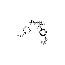 CC(C)(C)N1CCC([C@@H]2C[C@H]2NS(=O)(=O)c2ccc(OC(F)(F)F)cc2)CC1